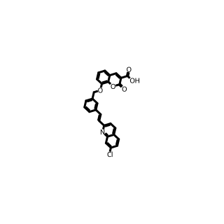 O=C(O)c1cc2cccc(OCc3cccc(C=Cc4ccc5ccc(Cl)cc5n4)c3)c2oc1=O